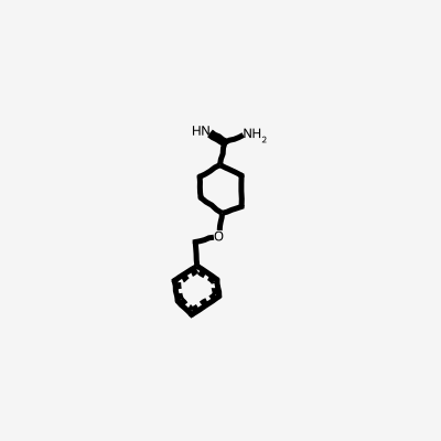 N=C(N)C1CCC(OCc2ccccc2)CC1